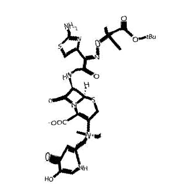 CC(C)(C)OC(=O)C(C)(C)O/N=C(/C(=O)N[C@@H]1C(=O)N2C(C(=O)[O-])=C([N+](C)(C)Cc3cc(=O)c(O)c[nH]3)CS[C@H]12)c1csc(N)n1